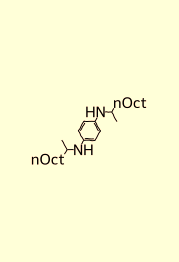 CCCCCCCCC(C)Nc1ccc(NC(C)CCCCCCCC)cc1